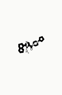 Cn1c(C(=O)N2CCN(C3CCCC3)CC2)cnc1-c1cccc2ccccc12